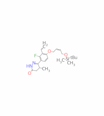 C=Cc1c(OC/C=C\CO[Si](C)(C)C(C)(C)C)ccc(C2=NNC(=O)CC2C)c1F